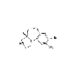 Nc1nc2c(cc1Br)SCC[C@H]1CNCCN21